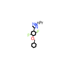 CCCn1ncc(-c2cc(F)c(OCc3ccccc3)cc2F)n1